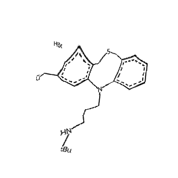 Br.CC(C)(C)NCCCN1c2ccccc2Sc2ccc(Cl)cc21